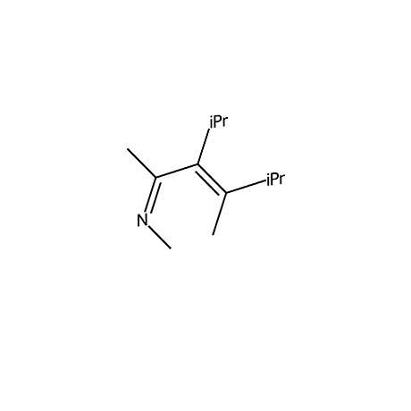 C/N=C(C)\C(=C(/C)C(C)C)C(C)C